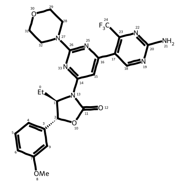 CC[C@@H]1[C@@H](c2cccc(OC)c2)OC(=O)N1c1cc(-c2cnc(N)nc2C(F)(F)F)nc(N2CCOCC2)n1